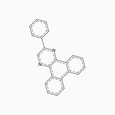 c1ccc(-c2cnc3c4ccccc4c4ccccc4c3n2)cc1